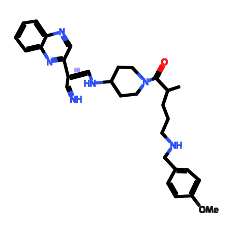 COc1ccc(CNCCCC(C)C(=O)N2CCC(N/C=C(\C=N)c3cnc4ccccc4n3)CC2)cc1